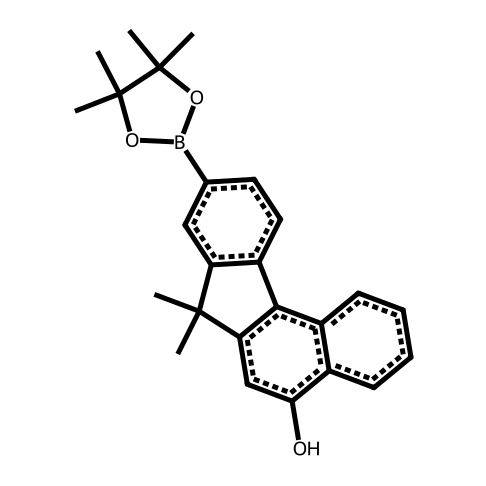 CC1(C)c2cc(B3OC(C)(C)C(C)(C)O3)ccc2-c2c1cc(O)c1ccccc21